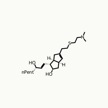 CCCCC[C@H](O)/C=C/[C@@H]1[C@H]2CC(CCSCCN(C)C)=C[C@H]2C[C@H]1O